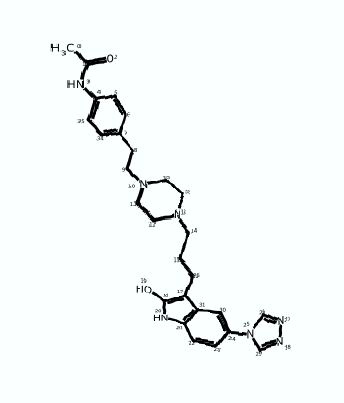 CC(=O)Nc1ccc(CCN2CCN(CCCc3c(O)[nH]c4ccc(-n5cnnc5)cc34)CC2)cc1